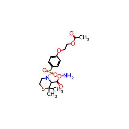 CC(=O)OCCOc1ccc(S(=O)(=O)N2CCSC(C)(C)C2C(=O)ON)cc1